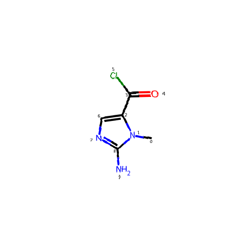 Cn1c(C(=O)Cl)cnc1N